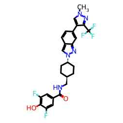 Cn1cc(-c2ccc3cn([C@H]4CC[C@H](CNC(=O)c5cc(F)c(O)c(F)c5)CC4)nc3c2)c(C(F)(F)F)n1